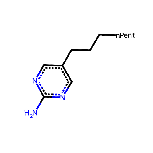 CCCCCCCCc1cnc(N)nc1